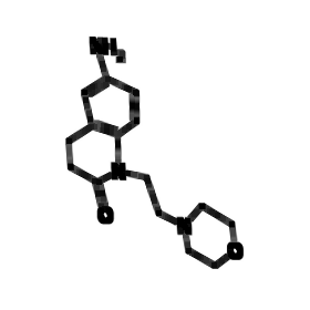 Nc1ccc2c(c1)CCC(=O)N2CCN1CCOCC1